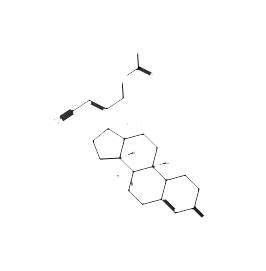 CC(=O)OC/C(=C/C#N)[C@H]1CC[C@H]2[C@@H]3CCC4=CC(=O)CC[C@]4(C)[C@H]3CC[C@]12C